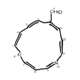 O=Cc1ccccocccnccc1